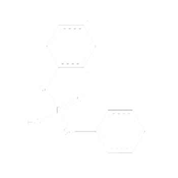 O=P(O)([Se]c1ccccc1)[Se]c1ccccc1